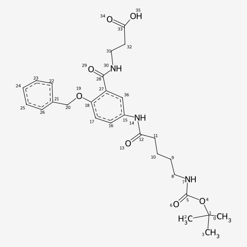 CC(C)(C)OC(=O)NCCCCC(=O)Nc1ccc(OCc2ccccc2)c(C(=O)NCCC(=O)O)c1